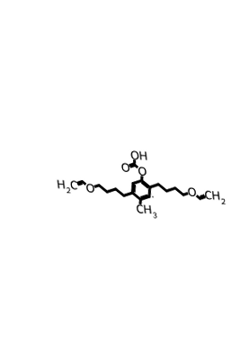 C=COCCCCc1[c]c(C)c(CCCCOC=C)cc1OC(=O)O